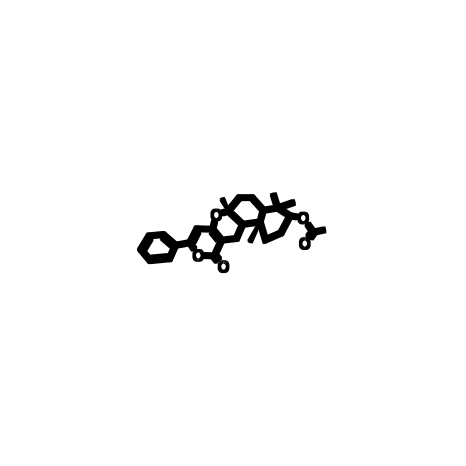 CC(=O)OC1CC[C@@]2(C)C(CC[C@@]3(C)Oc4cc(-c5ccccc5)oc(=O)c4CC23)C1(C)C